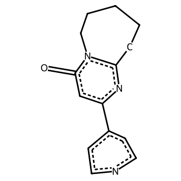 O=c1cc(-c2ccncc2)nc2n1CCCCC2